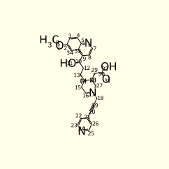 COc1ccc2nccc(C(O)CC[C@@H]3CCN(CC#Cc4ccncc4)C[C@@H]3CC(=O)O)c2c1